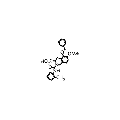 COc1ccc2c(c1OCc1ccccc1)CC(C(=O)O)N(C(=O)Nc1ccccc1C)C2